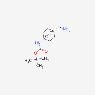 CC(C)(C)OC(=O)N[C@]12CC[C@](CN)(CC1)CC2